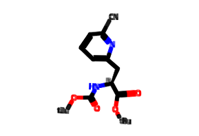 CC(C)(C)OC(=O)N[C@@H](Cc1cccc(C#N)n1)C(=O)OC(C)(C)C